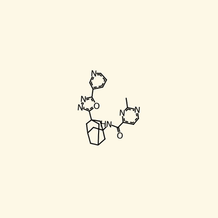 Cc1nccc(C(=O)NC23CC4CC(C2)CC(c2nnc(-c5cccnc5)o2)(C4)C3)n1